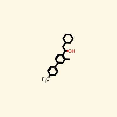 Cc1cc(-c2ccc(C(F)(F)F)cc2)ccc1C(O)CC1CCCCC1